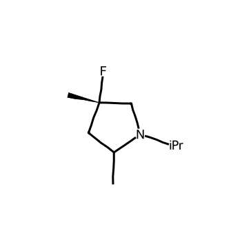 CC(C)N1C[C@@](C)(F)CC1C